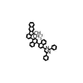 CC1(C)c2cc3ccccc3cc2-c2cccc(-c3ccc(-c4ccc(-c5cc(-c6ccccc6)nc(-c6ccccc6)n5)c5ccccc45)c4ccccc34)c21